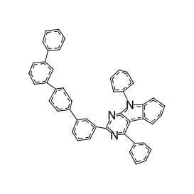 c1ccc(-c2cccc(-c3ccc(-c4cccc(-c5nc(-c6ccccc6)c6c7ccccc7n(-c7ccccc7)c6n5)c4)cc3)c2)cc1